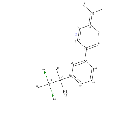 C=C(/C=C\C(C)=C(C)C)c1cccc(C(C)(CC)C(C)(F)F)c1